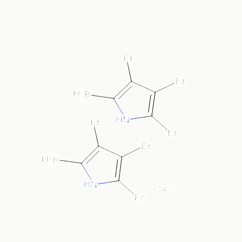 [BH3-]c1[nH]c(CC)c(CC)c1CC.[BH3-]c1[nH]c(CC)c(CC)c1CC.[Sr+2]